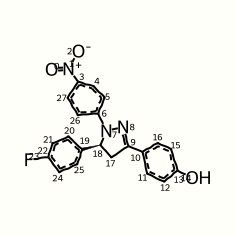 O=[N+]([O-])c1ccc(N2N=C(c3ccc(O)cc3)C[C@H]2c2ccc(F)cc2)cc1